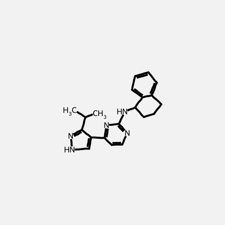 CC(C)c1n[nH]cc1-c1ccnc(NC2CCCc3ccccc32)n1